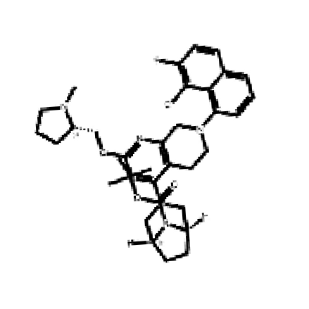 CN1CCC[C@H]1COc1nc2c(c(N3C[C@H]4CC[C@@H](C3)N4C(=O)OC(C)(C)C)n1)CCN(c1cccc3ccc(F)c(Cl)c13)C2